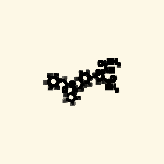 NC(=O)Nc1sc(-c2cccc(CN(OC(=O)Cc3ccccc3)C3CCCC3)c2)cc1C(N)=O